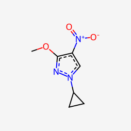 COc1nn(C2CC2)cc1[N+](=O)[O-]